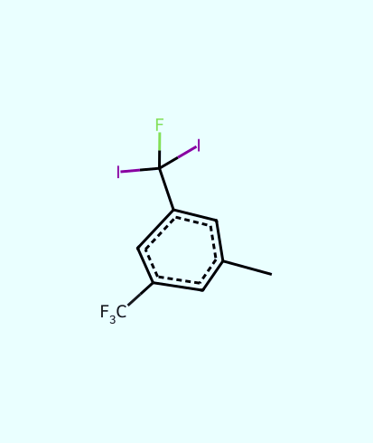 Cc1cc(C(F)(F)F)cc(C(F)(I)I)c1